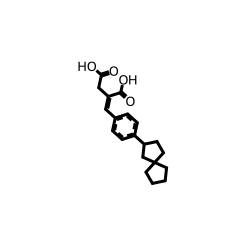 O=C(O)CC(=Cc1ccc(C2CCC3(CCCC3)C2)cc1)C(=O)O